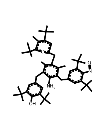 Cc1c(C(C)(C)C)cc(Cc2c(C)c(Cc3cc(C(C)(C)C)c(O)c(C(C)(C)C)c3)c(N)c(Cc3cc(C(C)(C)C)c(N=O)c(C(C)(C)C)c3)c2C)cc1C(C)(C)C